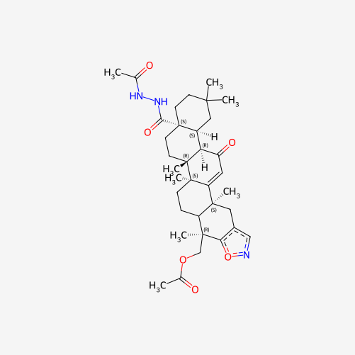 CC(=O)NNC(=O)[C@]12CCC(C)(C)C[C@H]1[C@H]1C(=O)C=C3[C@@]4(C)Cc5cnoc5[C@@](C)(COC(C)=O)C4CC[C@@]3(C)[C@]1(C)CC2